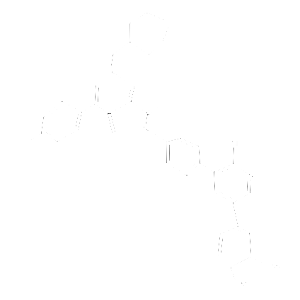 COc1ccc(-c2cnc(N)c(-c3ccc(NC(=O)c4cn(CC5CCOCC5)cc(-c5ccc(O)cc5)c4=O)cc3)c2)cc1OC